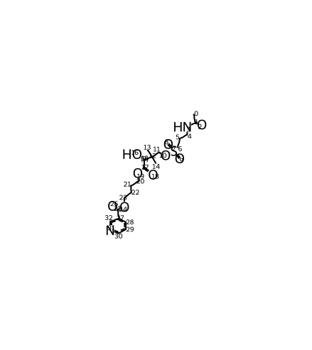 CC(=O)NCCCS(=O)(=O)OCC(C)(C)[C@@H](O)C(=O)OCCCCOC(=O)c1cccnc1